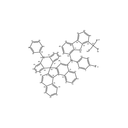 Fc1ccc(N(c2cc3c(c4ccccc24)-c2c(ccc4ccccc24)C32c3ccccc3N(c3ccccc3)c3ccccc32)c2cccc3c2oc2c(C(F)(F)F)cccc23)cc1